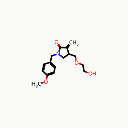 C=C1C(=O)N(Cc2ccc(OC)cc2)CC1COCCO